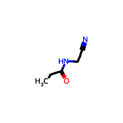 C[CH]C(=O)NCC#N